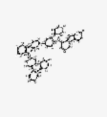 c1ccc2c(c1)sc1c(-n3c4ccccc4c4cc(-c5ccc6c7ccccc7n(-c7ccc8c9ccccc9c9ccccc9c8c7)c6c5)ccc43)cccc12